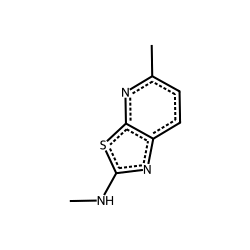 CNc1nc2ccc(C)nc2s1